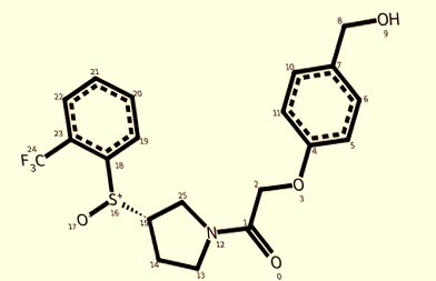 O=C(COc1ccc(CO)cc1)N1CC[C@H]([S+]([O-])c2ccccc2C(F)(F)F)C1